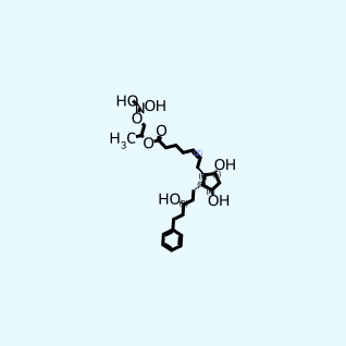 CC(CON(O)O)OC(=O)CCC/C=C\C[C@@H]1[C@@H](CC[C@@H](O)CCc2ccccc2)[C@H](O)C[C@@H]1O